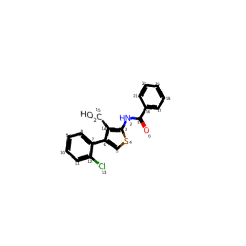 O=C(Nc1scc(-c2ccccc2Cl)c1C(=O)O)c1ccccc1